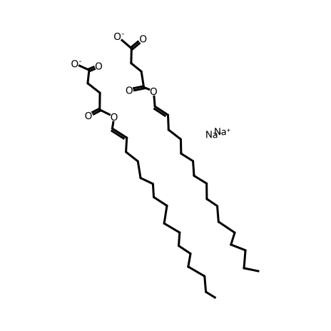 CCCCCCCCCCCCCCC=COC(=O)CCC(=O)[O-].CCCCCCCCCCCCCCC=COC(=O)CCC(=O)[O-].[Na+].[Na+]